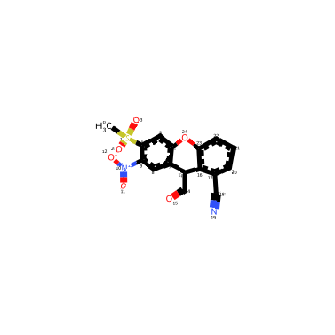 CS(=O)(=O)c1cc2c(cc1[N+](=O)[O-])C(C=O)c1c(C#N)cccc1O2